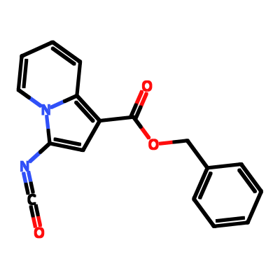 O=C=Nc1cc(C(=O)OCc2ccccc2)c2ccccn12